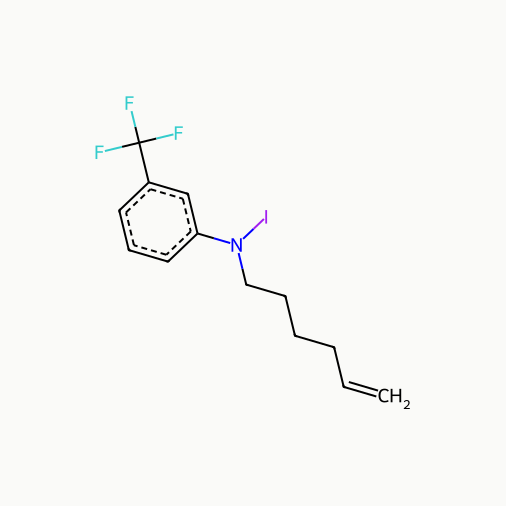 C=CCCCCN(I)c1cccc(C(F)(F)F)c1